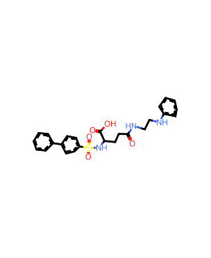 O=C(CCC(NS(=O)(=O)c1ccc(-c2ccccc2)cc1)C(=O)O)NCCNc1ccccc1